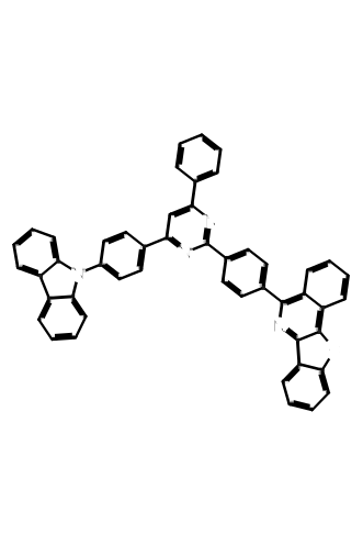 c1ccc(-c2cc(-c3ccc(-n4c5ccccc5c5ccccc54)cc3)nc(-c3ccc(-c4nc5c6ccccc6oc5c5ccccc45)cc3)n2)cc1